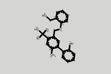 CCCc1ccccc1-c1cc(COc2ccc[c]c2CO)c(C(O)(CC)CC)cc1C